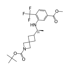 COC(=O)c1ccc(C(F)(F)F)c(N[C@@H](C)C2CC3(C2)CN(C(=O)OC(C)(C)C)C3)c1